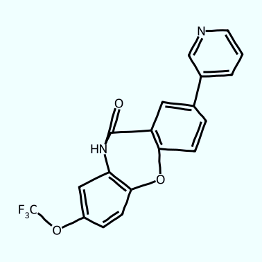 O=C1Nc2cc(OC(F)(F)F)ccc2Oc2ccc(-c3cccnc3)cc21